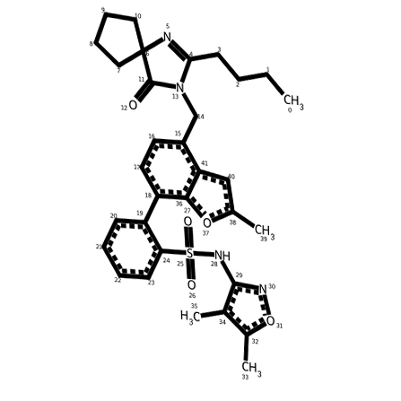 CCCCC1=NC2(CCCC2)C(=O)N1Cc1ccc(-c2ccccc2S(=O)(=O)Nc2noc(C)c2C)c2oc(C)cc12